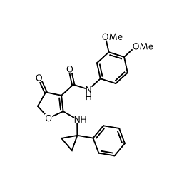 COc1ccc(NC(=O)C2=C(NC3(c4ccccc4)CC3)OCC2=O)cc1OC